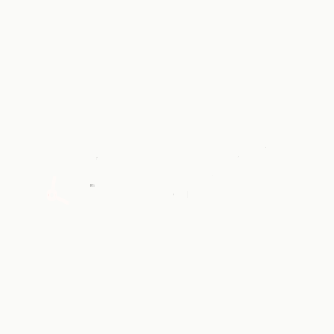 CC1(C)CCCC(C)(C2=C[C@H]3CO[CH][C@H]3CC2)C1